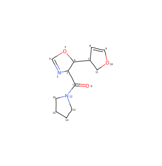 O=C(C1N=COC1C1C=COC1)N1CCCC1